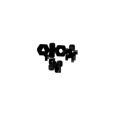 O=C(N1CCN(S(=O)(=O)c2ccccc2F)CC1)C(F)(F)F.O=S(=O)(Cl)Cl